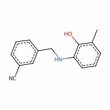 Cc1cccc(NCc2cccc(C#N)c2)c1O